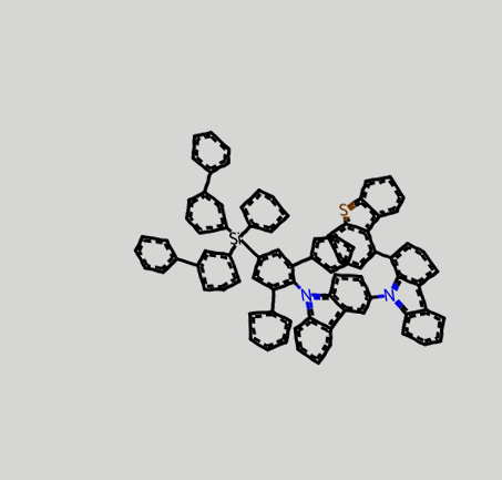 c1ccc(-c2cccc([Si](c3ccccc3)(c3cccc(-c4ccccc4)c3)c3cc(-c4ccccc4)c(-n4c5ccccc5c5cc(-n6c7ccccc7c7cccc(-c8cccc9sc%10ccccc%10c89)c76)ccc54)c(-c4ccccc4)c3)c2)cc1